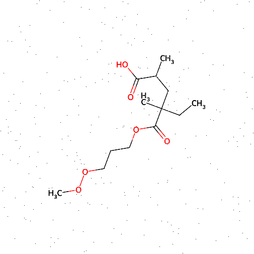 CCC(C)(CC(C)C(=O)O)C(=O)OCCCOOC